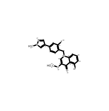 Cn1cc(-c2ccc(Cn3cc(OC(=O)O)c(=O)c4c(F)cccc43)c(F)c2)cn1